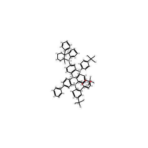 CC(C)(C)c1ccc(N2c3cc(N4c5ccccc5C5(c6ccccc6)CCCCC45C)ccc3B3c4ccc(-c5ccccc5)cc4N(c4ccc(C(C)(C)C)cc4-c4ccccc4)c4cc(C(C)(C)C)cc2c43)cc1